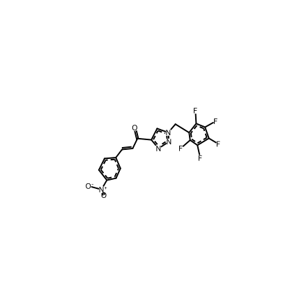 O=C(/C=C/c1ccc([N+](=O)[O-])cc1)c1cn(Cc2c(F)c(F)c(F)c(F)c2F)nn1